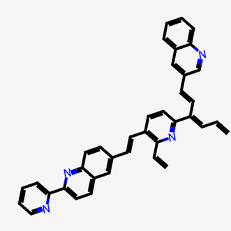 C=C/C=C(\C=C\c1cnc2ccccc2c1)c1ccc(/C=C/c2ccc3nc(-c4ccccn4)ccc3c2)c(C=C)n1